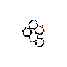 c1ccc2c(c1)Sc1ccccc1C21c2ccccc2Sc2ncccc21